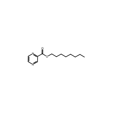 CCCCCCCCOC(=O)c1cnccn1